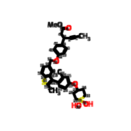 CC#CC(CC(=O)OC)c1ccc(OCc2ccc3sc(C)c(-c4ccc(OC5CCS(O)(O)CC5)cc4C)c3c2)cc1